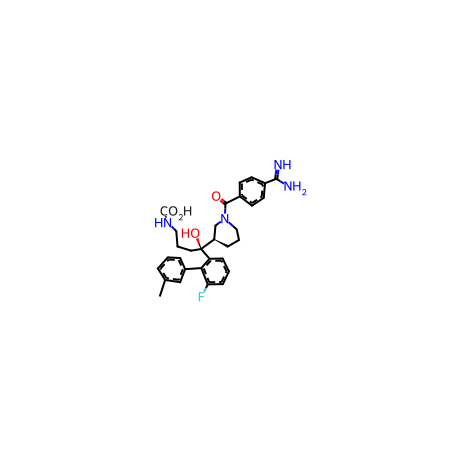 Cc1cccc(-c2c(F)cccc2[C@](O)(CCCNC(=O)O)[C@@H]2CCCN(C(=O)c3ccc(C(=N)N)cc3)C2)c1